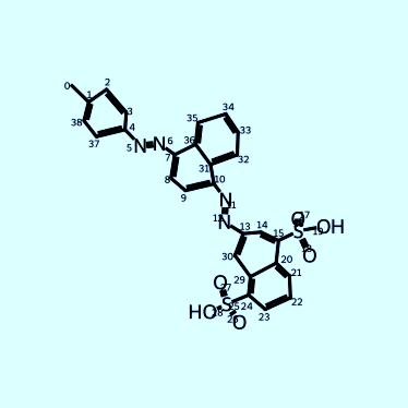 Cc1ccc(N=Nc2ccc(N=Nc3cc(S(=O)(=O)O)c4cccc(S(=O)(=O)O)c4c3)c3ccccc23)cc1